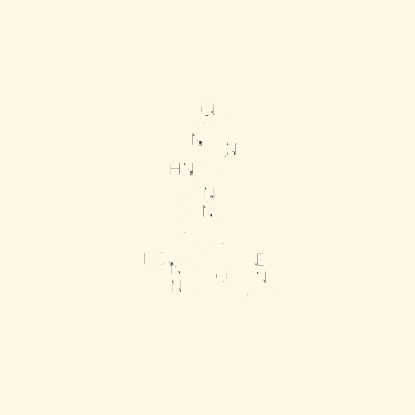 CCN1CCC1COc1cnn(C)c1-c1ccn2nc(Nc3cncc(C)n3)cc2c1